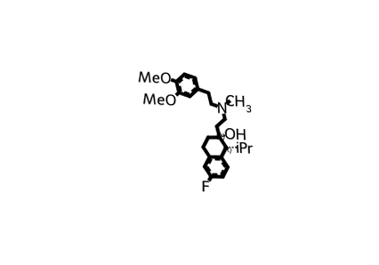 COc1ccc(CCN(C)CC[C@]2(O)CCc3cc(F)ccc3[C@H]2C(C)C)cc1OC